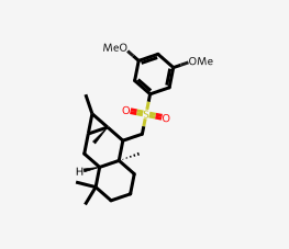 COc1cc(OC)cc(S(=O)(=O)CC2[C@@]3(C)C(C)C3C[C@H]3C(C)(C)CCC[C@]23C)c1